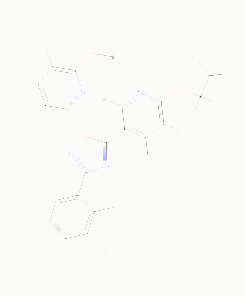 CC(C)Oc1ncc(C(=O)O)cc1Cl.[2H]c1nc(OC([2H])(C)C([2H])[2H])c(Cl)c([2H])c1-c1nc(-c2cccc(Br)c2C)no1